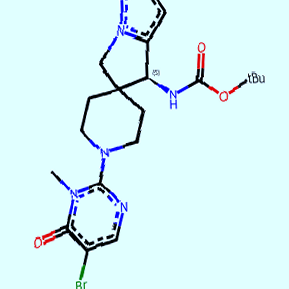 Cn1c(N2CCC3(CC2)Cn2nccc2[C@H]3NC(=O)OC(C)(C)C)ncc(Br)c1=O